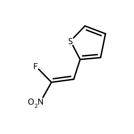 O=[N+]([O-])C(F)=Cc1cccs1